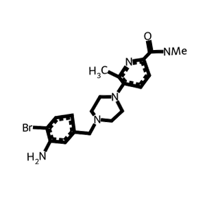 CNC(=O)c1ccc(N2CCN(Cc3ccc(Br)c(N)c3)CC2)c(C)n1